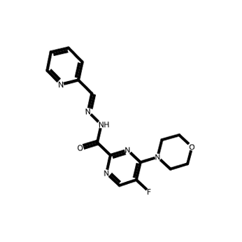 O=C(NN=Cc1ccccn1)c1ncc(F)c(N2CCOCC2)n1